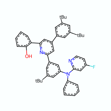 CC(C)(C)c1cc(-c2cc(-c3cc(C(C)(C)C)cc(C(C)(C)C)c3)cc(-c3ccccc3O)n2)cc(N(c2ccccc2)c2cc(F)ccn2)c1